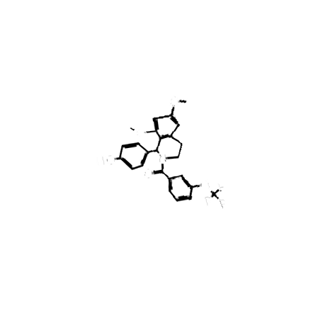 COc1cc2c(c(OC)c1)C(c1ccc(O)cc1)N(C(=O)c1cccc(OC(F)(F)F)c1)CC2